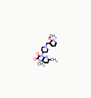 COc1ncccc1CN1CCC(n2c(=O)c(=O)n(C)c3ccc(C)nc32)CC1